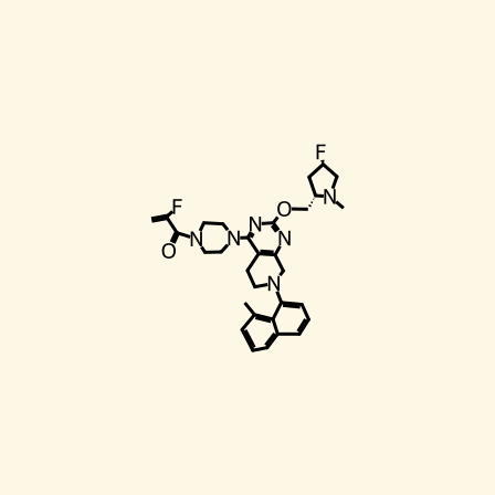 C=C(F)C(=O)N1CCN(c2nc(OC[C@@H]3C[C@@H](F)CN3C)nc3c2CCN(c2cccc4cccc(C)c24)C3)CC1